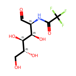 O=C[C@@H](NC(=O)C(F)(F)F)[C@@H](O)[C@H](O)[C@H](O)CO